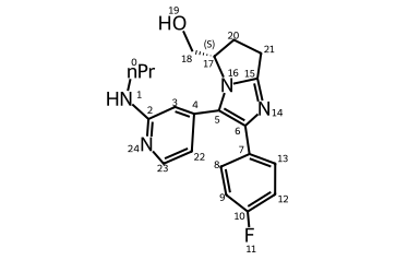 CCCNc1cc(-c2c(-c3ccc(F)cc3)nc3n2[C@H](CO)CC3)ccn1